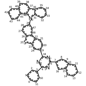 c1ccc(-c2nc(-c3ccc4ccccc4c3)nc(-c3ccc4c(c3)sc3ccc(-n5c6ccccc6c6ccc7ccccc7c65)cc34)n2)cc1